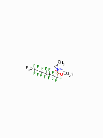 CC1C[N+]1(CC(=O)O)S(=O)(=O)C(F)(F)C(F)(F)C(F)(F)C(F)(F)C(F)(F)C(F)(F)C(F)(F)C(F)(F)F